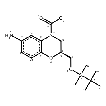 CC(C)(C)[Si](C)(C)OC[C@@H]1CN(C(=O)O)c2cc(N)ccc2O1